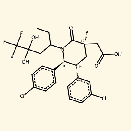 CCC(CC(O)(O)C(F)(F)F)N1C(=O)[C@@](C)(CC(=O)O)C[C@H](c2cccc(Cl)c2)[C@H]1c1ccc(Cl)cc1